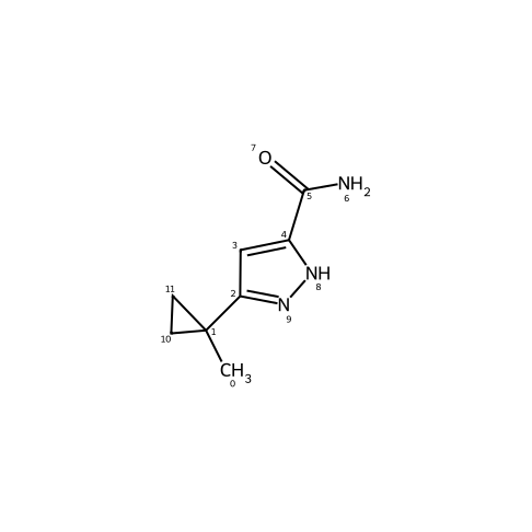 CC1(c2cc(C(N)=O)[nH]n2)CC1